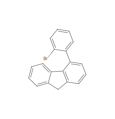 Brc1ccccc1-c1cccc2c1-c1ccccc1C2